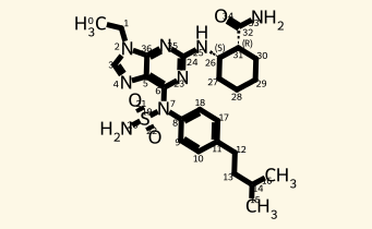 CCn1cnc2c(N(c3ccc(CCC(C)C)cc3)S(N)(=O)=O)nc(N[C@H]3CCCC[C@H]3C(N)=O)nc21